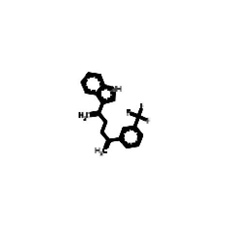 C=C(CCC(=C)c1c[nH]c2ccccc12)c1cccc(C(F)(F)F)c1